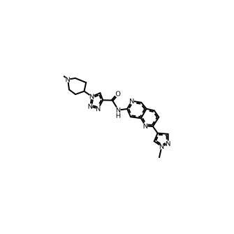 CN1CCC(n2cc(C(=O)Nc3cc4nc(-c5cnn(C)c5)ccc4cn3)nn2)CC1